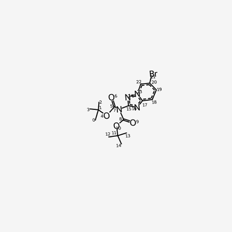 CC(C)(C)OC(=O)N(C(=O)OC(C)(C)C)c1nc2ccc(Br)cn2n1